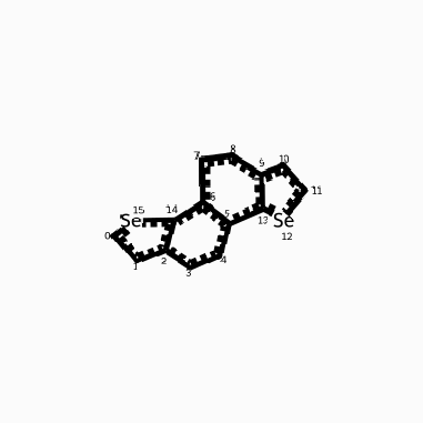 c1cc2ccc3c(ccc4cc[se]c43)c2[se]1